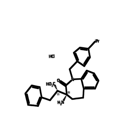 CC(C)c1ccc(CN2C(=O)[C@](N)([C@H](Cc3ccccc3)C(=O)O)CCc3ccccc32)cc1.Cl